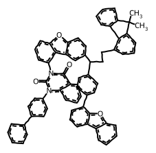 CC1(C)c2ccccc2-c2c(CCC(c3ccc(-c4cccc5c4oc4ccccc45)cc3)c3ccc4oc5cccc(-n6c(=O)c7ccccc7n(-c7ccc(-c8ccccc8)cc7)c6=O)c5c4c3)cccc21